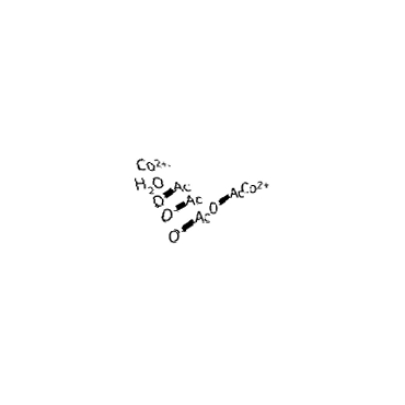 CC(=O)[O-].CC(=O)[O-].CC(=O)[O-].CC(=O)[O-].O.[Co+2].[Co+2]